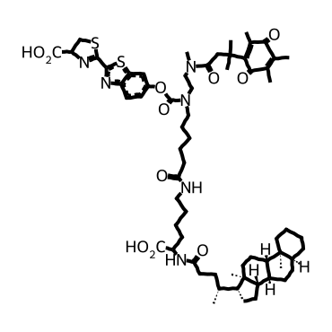 CC1=C(C)C(=O)C(C(C)(C)CC(=O)N(C)CCN(CCCCCC(=O)NCCCCC(NC(=O)CC[C@@H](C)[C@H]2CC[C@H]3[C@@H]4CC[C@@H]5CCCC[C@]5(C)[C@H]4CC[C@]23C)C(=O)O)C(=O)Oc2ccc3nc(C4=NC(C(=O)O)CS4)sc3c2)=C(C)C1=O